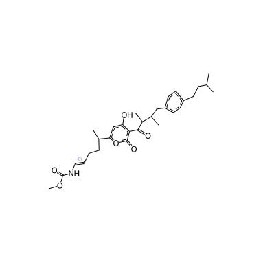 COC(=O)N/C=C/CCC(C)c1cc(O)c(C(=O)C(C)C(C)Cc2ccc(CCC(C)C)cc2)c(=O)o1